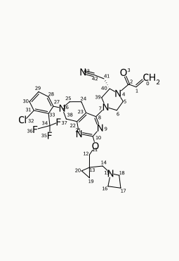 C=CC(=O)N1CCN(c2nc(OCC3(CN4CCC4)CC3)nc3c2CCN(c2cccc(Cl)c2C(F)(F)F)C3)C[C@@H]1CC#N